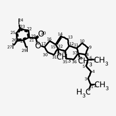 CC(C)CCCC(C)C1CCC2C3CC=C4CC(OC(=O)c5cc(I)cc(I)c5I)CCC4(C)C3CCC12C